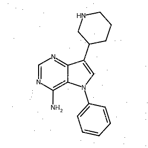 Nc1ncnc2c(C3CCCNC3)cn(-c3ccccc3)c12